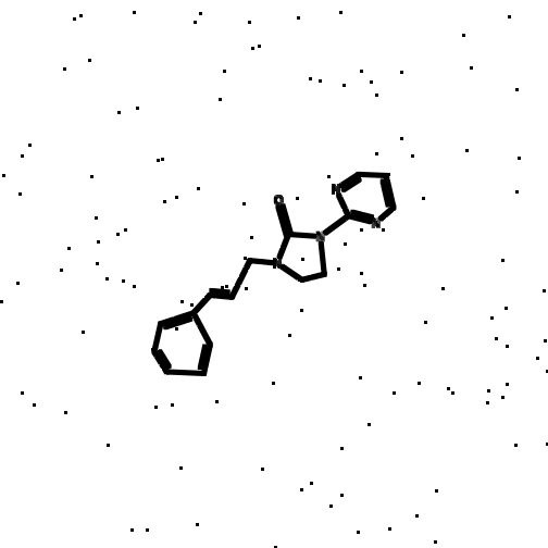 O=C1N(CC=Cc2ccccc2)CCN1c1ncccn1